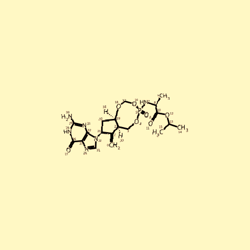 C=C1[C@@H]2COP(=O)(N[C@@H](C)C(=O)OC(C)C)OCO[C@@H]2C[C@@H]1n1cnc2c(=O)[nH]c(N)nc21